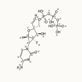 C=C[C@]1(COP(=O)(O)OP(=O)(O)OP(=O)(O)O)O[C@H]2C(n3ccc(N)nc3=O)[C@]2(F)[C@@H]1O